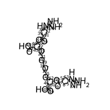 N=C(N)Nc1ccc(C(=O)Oc2cc(OCCOCCOCCOc3cc(OC(=O)c4ccc(NC(=N)N)cc4)cc(C(=O)O)c3)cc(C(=O)O)c2)cc1